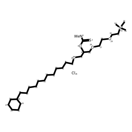 CNC(=S)OC(COCCCCCCCCCCCCC1CCCCC1)COCCOCC[N+](C)(C)C.[Cl-]